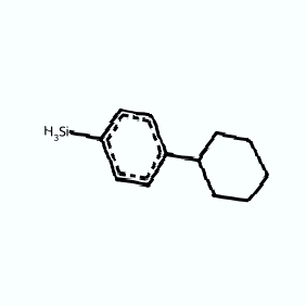 [SiH3]c1ccc(C2CCCCC2)cc1